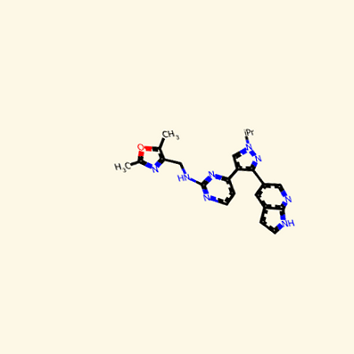 Cc1nc(CNc2nccc(-c3cn(C(C)C)nc3-c3cnc4[nH]ccc4c3)n2)c(C)o1